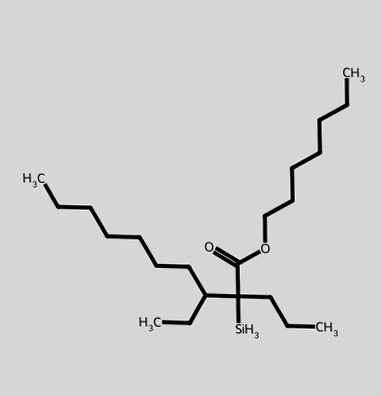 CCCCCCCOC(=O)C([SiH3])(CCC)C(CC)CCCCCCC